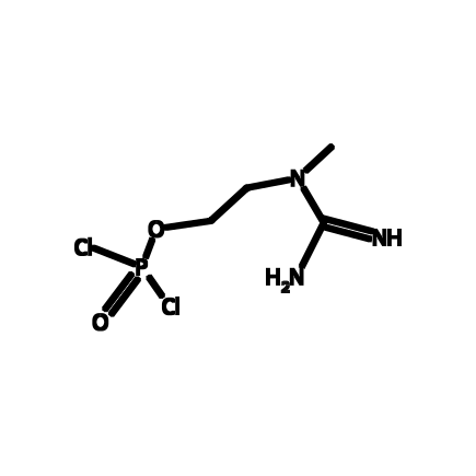 CN(CCOP(=O)(Cl)Cl)C(=N)N